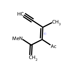 C#C/C(C)=C(\C(=C)NC)C(C)=O